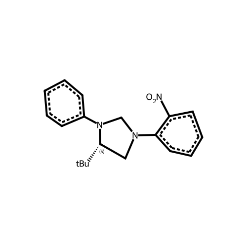 CC(C)(C)[C@H]1CN(c2ccccc2[N+](=O)[O-])CN1c1ccccc1